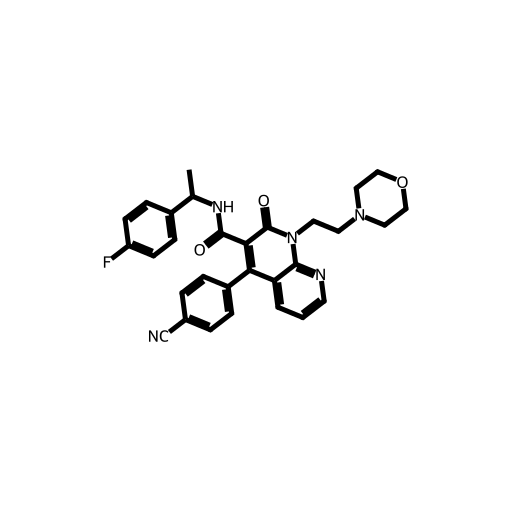 CC(NC(=O)c1c(-c2ccc(C#N)cc2)c2cccnc2n(CCN2CCOCC2)c1=O)c1ccc(F)cc1